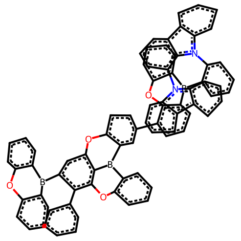 c1ccc(-c2c(B3c4ccccc4Oc4ccccc43)cc3c4c2Oc2ccccc2B4c2cc(-c4cccc5c4Oc4ccccc4B5c4ccccc4-n4c5ccccc5c5cccc(-n6c7ccccc7c7ccccc76)c54)ccc2O3)cc1